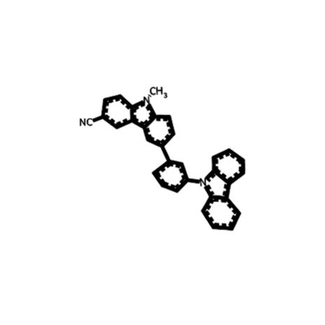 Cn1c2ccc(C#N)cc2c2cc(-c3cccc(-n4c5ccccc5c5ccccc54)c3)ccc21